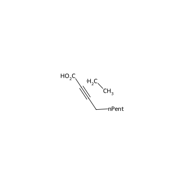 CCCCCCC#CC(=O)O.[CH2]C